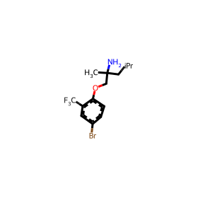 CC(C)CC(C)(N)COc1ccc(Br)cc1C(F)(F)F